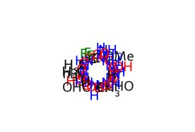 CCCC[C@H]1C(=O)N2C[C@H](O)C[C@@H]2C(=O)N[C@@H](COC=O)C(=O)N[C@@H](C(C)C)C(=O)N(C)[C@@H](Cc2ccccc2)C(=O)N[C@@H](COC=O)C(=O)N2CCOC[C@@H]2C(=O)N[C@@H](Cc2c[nH]c3ccccc23)C(=O)N[C@@H](Cc2ccc(O)cc2)C(=O)N[C@@H](CCOC)C(=O)N[C@H](C(=O)NCC(N)=O)CSCC(=O)N[C@@H](Cc2cc(F)c(F)c(F)c2)C(=O)N(C)[C@@H](Cc2ccccc2)C(=O)N1C